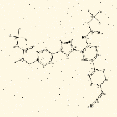 CN(Cc1ccc(-c2nnc(-c3nc(C4=CCC(N=[N+]=[N-])CC4)cnc3NC(=O)OC(C)(C)C)o2)cc1)C(=O)OC(C)(C)C